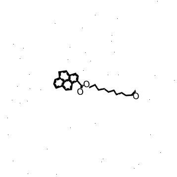 O=C(OCCCCCCCCCC1CO1)c1ccc2ccc3cccc4ccc1c2c34